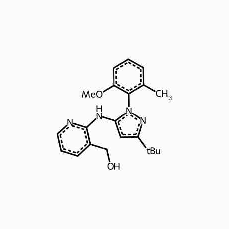 COc1cccc(C)c1-n1nc(C(C)(C)C)cc1Nc1ncccc1CO